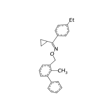 CCc1ccc(C(=NOCc2cccc(-c3ccccc3)c2C)C2CC2)cc1